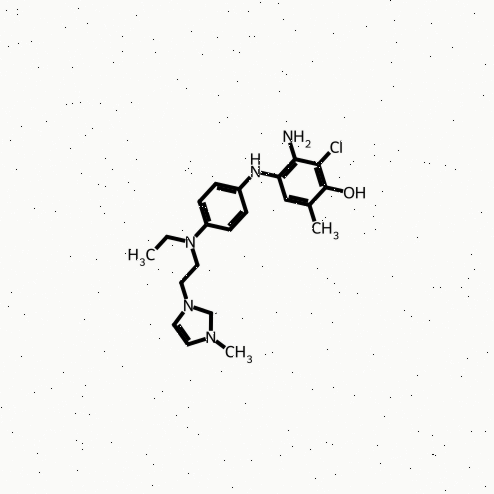 CCN(CCN1[CH]N(C)C=C1)c1ccc(Nc2cc(C)c(O)c(Cl)c2N)cc1